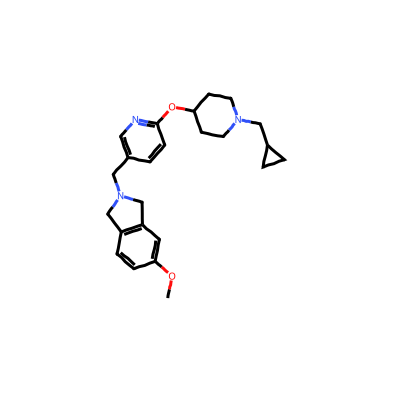 COc1ccc2c(c1)CN(Cc1ccc(OC3CCN(CC4CC4)CC3)nc1)C2